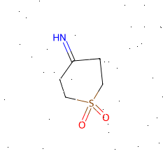 N=C1CCS(=O)(=O)CC1